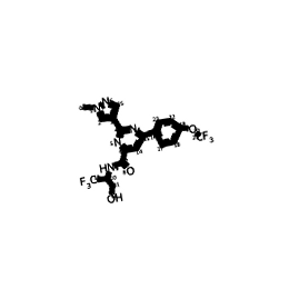 Cn1cc(-c2nc(C(=O)NC(CO)C(F)(F)F)cc(-c3ccc(OC(F)(F)F)cc3)n2)cn1